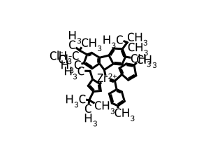 CCC1C=C(C(C)(C)C)C=[C]1[Zr+2](=[C](c1ccc(C)cc1)c1ccc(C)cc1)[CH]1c2cc(C)c(C(C)(C)C)cc2-c2cc(C(C)(C)C)c(C)cc21.[Cl-].[Cl-]